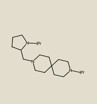 CC(C)N1CCC2(CCN(CC3CCCN3C(C)C)CC2)CC1